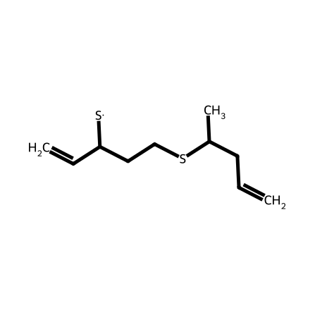 C=CCC(C)SCCC([S])C=C